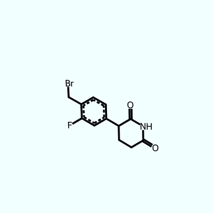 O=C1CCC(c2ccc(CBr)c(F)c2)C(=O)N1